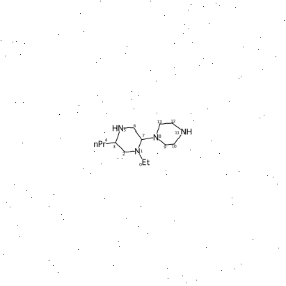 [CH2]CN1CC(CCC)NCC1N1CCNCC1